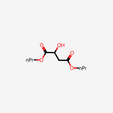 CCCOC(=O)CC(O)C(=O)OCCC